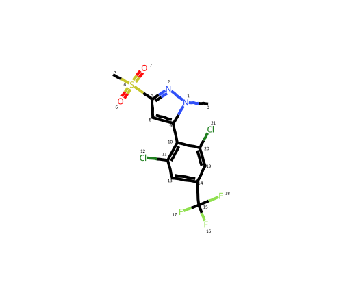 Cn1nc(S(C)(=O)=O)cc1-c1c(Cl)cc(C(F)(F)F)cc1Cl